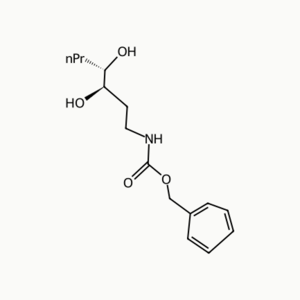 CCC[C@H](O)[C@H](O)CCNC(=O)OCc1ccccc1